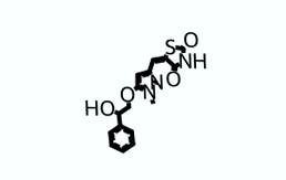 Cn1nc(C=C2SC(=O)NC2=O)cc1OCC(O)c1ccccc1